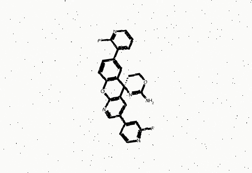 NC1=N[C@]2(CCO1)c1cc(-c3cccnc3F)ccc1Oc1ncc(-c3ccnc(F)c3)cc12